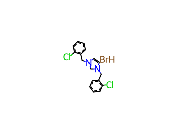 Br.Clc1ccccc1CN1C=CN(Cc2ccccc2Cl)C1